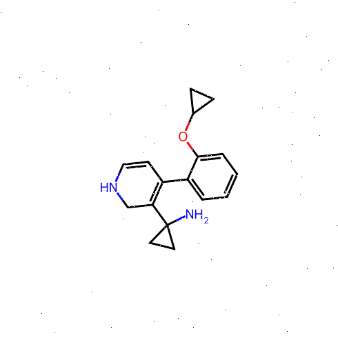 NC1(C2=C(c3ccccc3OC3CC3)C=CNC2)CC1